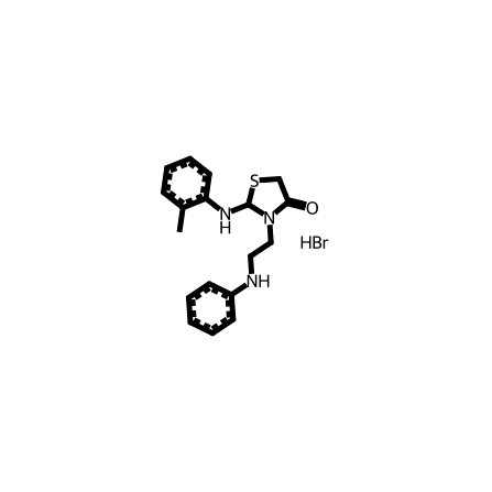 Br.Cc1ccccc1NC1SCC(=O)N1CCNc1ccccc1